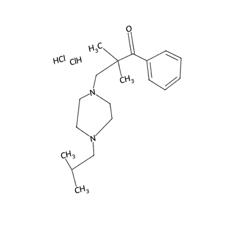 CC(C)CN1CCN(CC(C)(C)C(=O)c2ccccc2)CC1.Cl.Cl